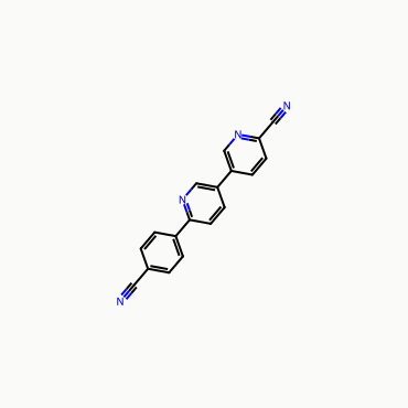 N#Cc1ccc(-c2ccc(-c3ccc(C#N)nc3)cn2)cc1